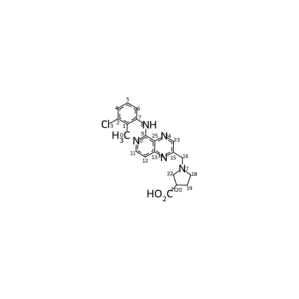 Cc1c(Cl)cccc1Nc1nccc2nc(CN3CCC(C(=O)O)C3)cnc12